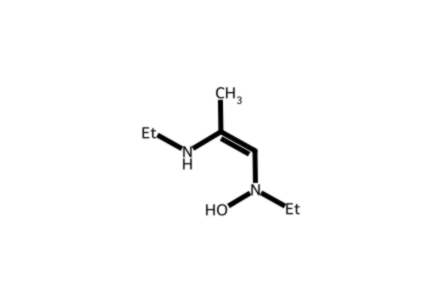 CCN/C(C)=C\N(O)CC